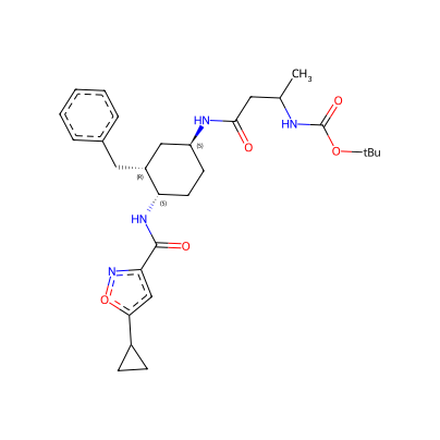 CC(CC(=O)N[C@H]1CC[C@H](NC(=O)c2cc(C3CC3)on2)[C@H](Cc2ccccc2)C1)NC(=O)OC(C)(C)C